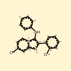 Clc1ccn2c(Nc3ccccc3)c(-c3ccccc3Cl)nc2c1